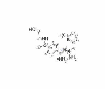 Cc1nccc(CN(N)/N=C(\N)c2ccc([S+]([O-])NCCO)cc2)n1